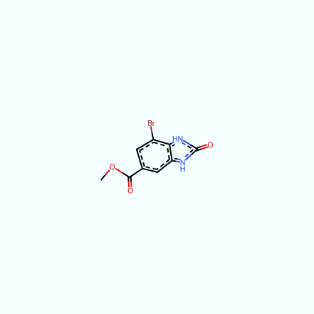 COC(=O)c1cc(Br)c2[nH]c(=O)[nH]c2c1